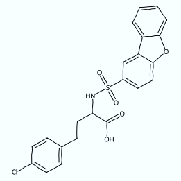 O=C(O)C(CCc1ccc(Cl)cc1)NS(=O)(=O)c1ccc2oc3ccccc3c2c1